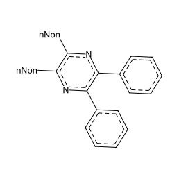 CCCCCCCCCc1nc(-c2ccccc2)c(-c2ccccc2)nc1CCCCCCCCC